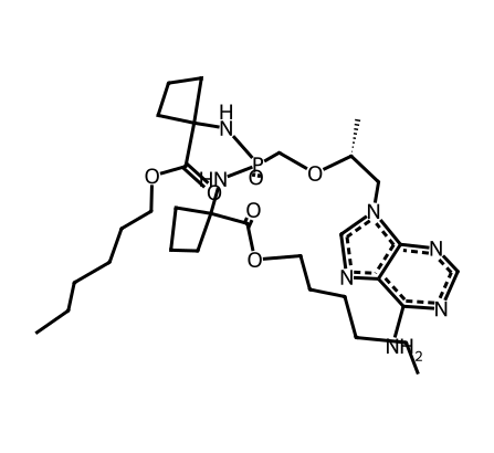 CCCCCCOC(=O)C1(NP(=O)(CO[C@H](C)Cn2cnc3c(N)ncnc32)NC2(C(=O)OCCCCCC)CCC2)CCC1